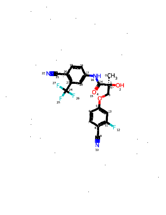 C[C@](O)(COc1ccc(C#N)c(F)c1)C(=O)Nc1ccc(C#N)c(C(F)(F)F)c1